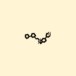 C(=Cn1ncc2ccc(-c3ccncc3)cc21)c1cccc(-c2ccccc2)c1